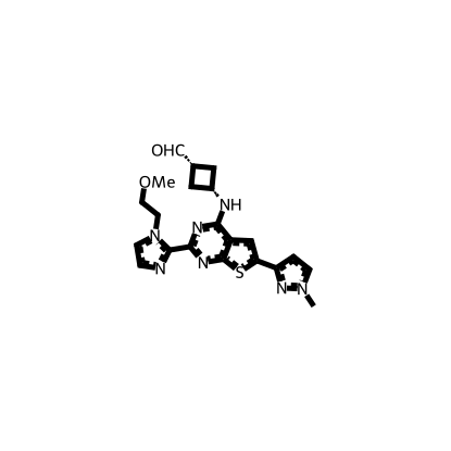 COCCn1ccnc1-c1nc(N[C@H]2C[C@@H](C=O)C2)c2cc(-c3ccn(C)n3)sc2n1